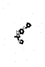 CC1=C(CN2CCCC2)CN(c2ccc(OCc3ccccc3)cc2)N1